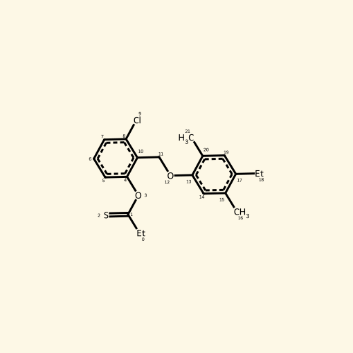 CCC(=S)Oc1cccc(Cl)c1COc1cc(C)c(CC)cc1C